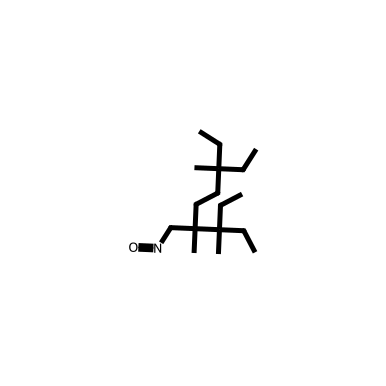 CCC(C)(CC)CCC(C)(CN=O)C(C)(CC)CC